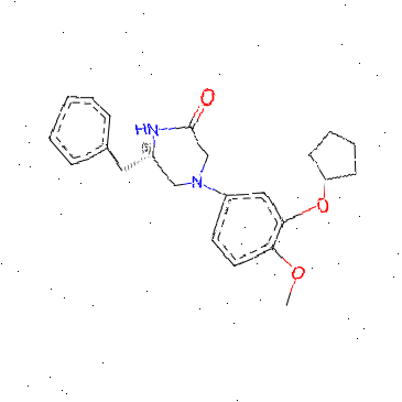 COc1ccc(N2CC(=O)N[C@@H](Cc3ccccc3)C2)cc1OC1CCCC1